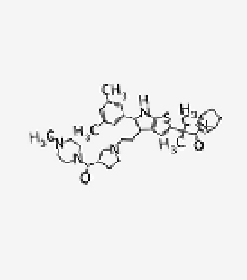 Cc1cc(C)cc(C2Nc3sc(C(C)(C)C(=O)N4C5CCC4CC5)cc3C2CCN2CCC(C(=O)N3CCN(C)CC3)C2)c1